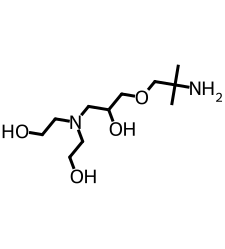 CC(C)(N)COCC(O)CN(CCO)CCO